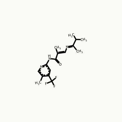 C/C(=C\N=C(/C)C(C)C)C(=O)Nc1cc(C(F)(F)F)c(C)cn1